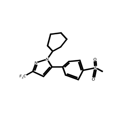 CS(=O)(=O)c1ccc(-c2cc(C(F)(F)F)nn2C2CCCCC2)cc1